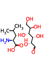 CC(C)C[C@H](N)C(=O)O.O=C[C@H](O)[C@@H](O)[C@H](O)[C@H](O)CO